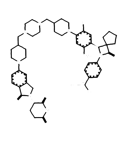 COc1cc(N2CCC(CN3CCN(CC4CCN(c5ccc6c(c5)CN([C@H]5CCC(=O)NC5=O)C6=O)CC4)CC3)CC2)c(F)cc1[C@@H]1N(c2ccc([C@@H](C)O)cc2)C(=O)C12CCCC2